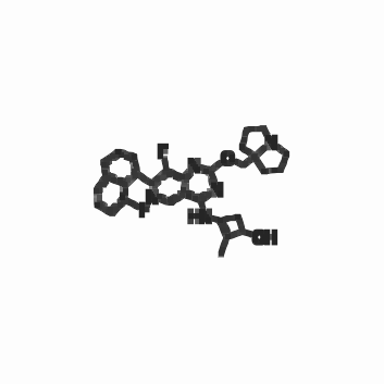 CC1=C(Nc2nc(OCC34CCCN3CCC4)nc3c(F)c(-c4cccc5cccc(F)c45)ncc23)CC1O